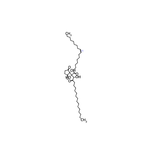 CCCCCCCC/C=C\CCCCCCCC(=O)C(O)(C(O)C(=O)CCCCCCCCCCCCCCC)C1(O)C(=O)CCC1=O